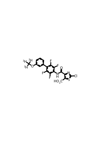 [2H]C([2H])([2H])Oc1cccc(-c2c(F)c(F)c(NC(=O)c3nc(Cl)sc3C(=O)O)c(F)c2F)c1